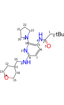 CC(C)(C)CC(=O)Nc1ccc(NCC2CCOCC2)nc1N1CCCC1